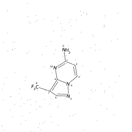 Nc1ccn2ncc(C(F)(F)F)c2n1